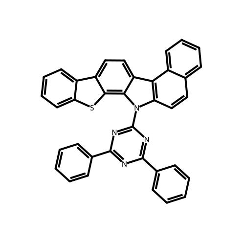 c1ccc(-c2nc(-c3ccccc3)nc(-n3c4ccc5ccccc5c4c4ccc5c6ccccc6sc5c43)n2)cc1